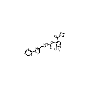 Cn1ncc(C(=O)N2CCC2)c1OC(=O)NCCc1csc(-c2ncccn2)n1